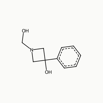 OCN1CC(O)(c2ccccc2)C1